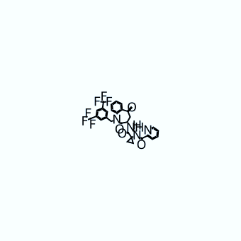 O=C(NC1(C(=O)N[C@@H]2CC(=O)c3ccccc3N(Cc3cc(C(F)(F)F)cc(C(F)(F)F)c3)C2=O)CC1)c1ccccn1